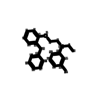 CCN(CCOc1ccccc1Cc1ccccc1)c1cccc(C)c1